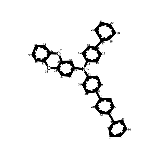 c1ccc(-c2ccc(-c3ccc(N(c4ccc(-c5ccccc5)cc4)c4ccc5c(c4)Oc4ccccc4O5)cc3)cc2)cc1